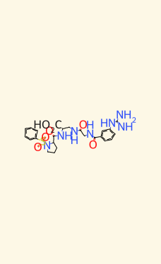 N=C(N)Nc1cccc(C(=O)NCC(=O)NC[C@H](NC(=O)C2CCCN2S(=O)(=O)c2ccccc2)C(=O)O)c1